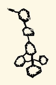 N#Cc1ccnc(-c2ccc(-c3ccc4c(c3)-c3ccccc3C4(c3ccccc3)c3ccccc3)cn2)c1